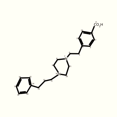 O=C(O)c1ccc(CCN2CCN(CCCc3ccccc3)CC2)cc1